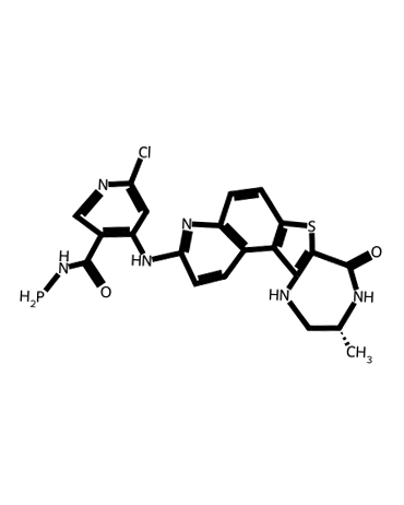 C[C@@H]1CNc2c(sc3ccc4nc(Nc5cc(Cl)ncc5C(=O)NP)ccc4c23)C(=O)N1